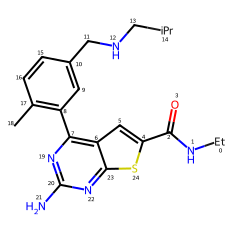 CCNC(=O)c1cc2c(-c3cc(CNCC(C)C)ccc3C)nc(N)nc2s1